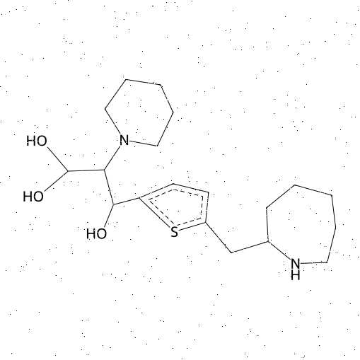 OC(O)C(C(O)c1ccc(CC2CCCCCN2)s1)N1CCCCC1